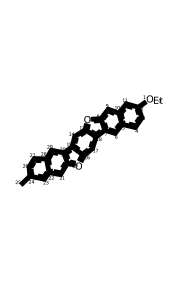 CCOc1ccc2cc3c(cc2c1)oc1cc2c(cc13)oc1cc3cc(C)ccc3cc12